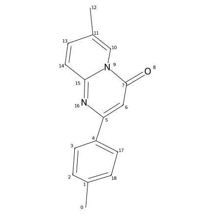 Cc1ccc(-c2cc(=O)n3cc(C)ccc3n2)cc1